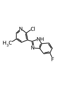 Cc1cnc(Cl)c(-c2nc3cc(F)ccc3[nH]2)c1